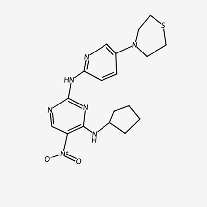 O=[N+]([O-])c1cnc(Nc2ccc(N3CCSCC3)cn2)nc1NC1CCCC1